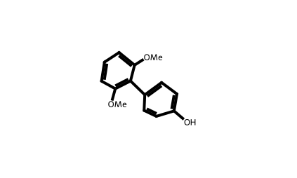 COc1cccc(OC)c1-c1ccc(O)cc1